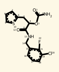 NC(=O)OC(Cc1cccs1)C(=O)NCc1cccc(Cl)c1F